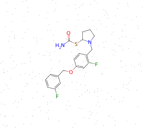 NC(=O)SC1CCCN1Cc1ccc(OCc2cccc(F)c2)cc1F